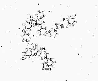 NC1(C(=O)N[C@@H](CCN2CCC(OC3CCN(C(=O)[C@H](NC(=O)c4cccc(C5CCCN(C(=O)CNCc6ccc(F)cc6F)C5)c4)C4CCCCC4)CC3)CC2)c2ccc(Cl)cc2)CCN(c2ncnc3[nH]ccc23)CC1